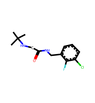 CC(C)(C)NCC(=O)NCc1cccc(Cl)c1F